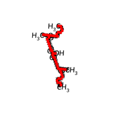 CC/C=C\C/C=C\C/C=C\C/C=C\C/C=C\CCCC(=O)OC(C/C=C\CCCCCCCCOC(=O)CCN(CCO)CCC(=O)OCCCCCCCC/C=C\CC(CCCCCC)OC(=O)CCC/C=C\C/C=C\C/C=C\C/C=C\C/C=C\CC)CCCCCC